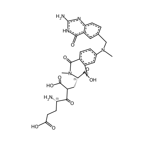 CN(Cc1ccc2nc(N)[nH]c(=O)c2c1)c1ccc(C(=O)N(C)[C@@H](CC(C(=O)O)C(=O)[C@@H](N)CCC(=O)O)C(=O)O)c(F)c1